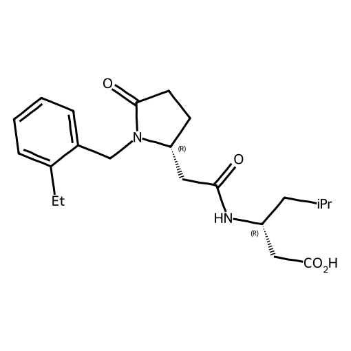 CCc1ccccc1CN1C(=O)CC[C@@H]1CC(=O)N[C@@H](CC(=O)O)CC(C)C